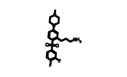 CN1CCN(c2ccc(S(=O)(=O)c3ccc(F)c(F)c3)c(CCCN)c2)CC1